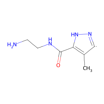 Cc1[c]n[nH]c1C(=O)NCCN